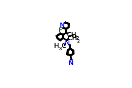 C=C(c1ccccc1C(=C)N(C)Cc1ccc(C#N)cc1)c1cccnc1F